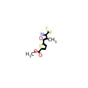 COC(=O)c1ccc(-c2onc(C(F)F)c2C)s1